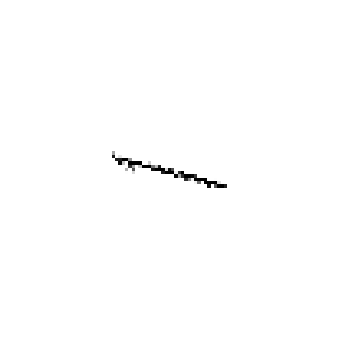 CCCCCCCCCCCCCCCCCC(=O)C[C]=O